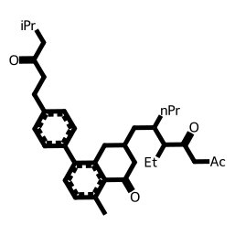 CCCC(CC1CC(=O)c2c(C)ccc(-c3ccc(CCC(=O)CC(C)C)cc3)c2C1)C(CC)C(=O)CC(C)=O